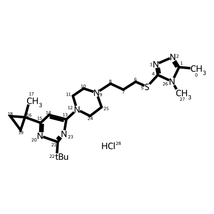 Cc1nnc(SCCCN2CCN(c3cc(C4(C)CC4)nc(C(C)(C)C)n3)CC2)n1C.Cl